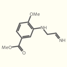 COC(=O)c1ccc(OC)c(NCC=N)c1